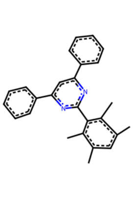 Cc1cc(C)c(C)c(-c2nc(-c3ccccc3)cc(-c3ccccc3)n2)c1C